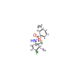 CC(C)c1cccc(S(=O)(=O)Nc2ccc(F)c(I)c2F)c1